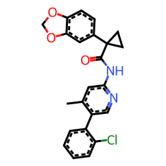 Cc1cc(NC(=O)C2(c3ccc4c(c3)OCO4)CC2)ncc1-c1ccccc1Cl